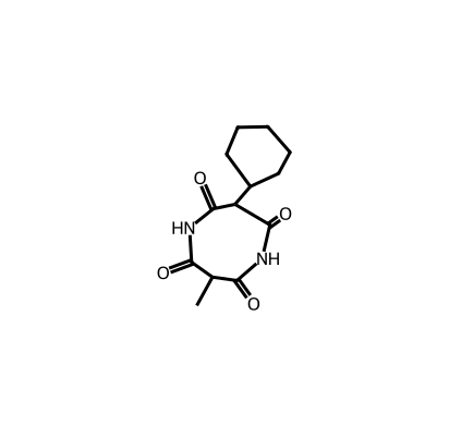 CC1C(=O)NC(=O)C(C2CCCCC2)C(=O)NC1=O